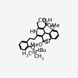 COC(=O)C1=C(CCc2ccccc2O[Si](C)(C)C(C)(C)C)NC(CC(=O)O)=C(C(=O)OC)C1c1c(Cl)cccc1Cl